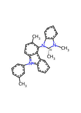 Cc1cccc(-n2c3ccccc3c3c(N4c5ccccc5N(C)[C@@H]4C)c(C)ccc32)c1